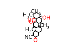 CC1(C)CCC2(CO)CCC3C(O)(C(=O)C=C4C5(C)C=C(C#N)C(=O)CC5CC[C@]43C)C2C1